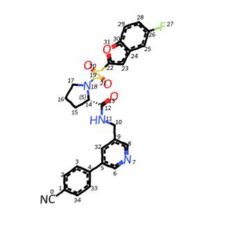 N#Cc1ccc(-c2cncc(CNC(=O)[C@@H]3CCCN3S(=O)(=O)c3cc4cc(F)ccc4o3)c2)cc1